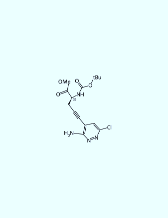 COC(=O)[C@H](CC#Cc1cc(Cl)nnc1N)NC(=O)OC(C)(C)C